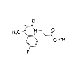 COC(=O)CCn1c(=O)nc(C)c2cc(F)ccc21